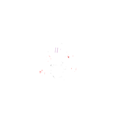 CCPC(=O)c1c(OC)ccc(OC)c1OC